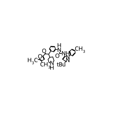 Cc1ccc(-n2nc(C(C)(C)C)cc2NC(=O)Nc2cccc(C(C(=O)c3cc(C)c(C)o3)C3CCNCC3)c2)cc1